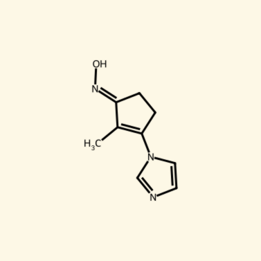 CC1=C(n2ccnc2)CCC1=NO